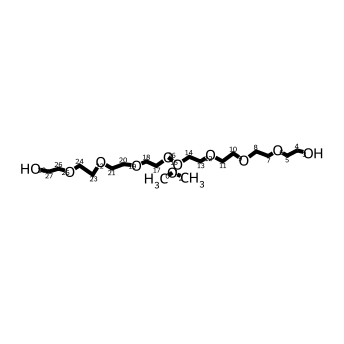 COC.OCCOCCOCCOCCOOCCOCCOCCOCCO